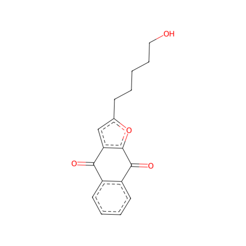 O=C1c2ccccc2C(=O)c2oc(CCCCCO)cc21